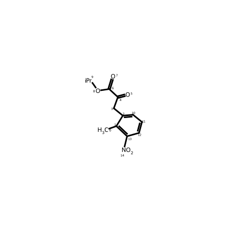 Cc1c(CC(=O)C(=O)OC(C)C)cccc1[N+](=O)[O-]